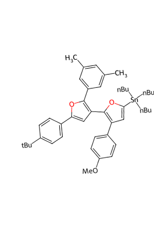 CCC[CH2][Sn]([CH2]CCC)([CH2]CCC)[c]1cc(-c2ccc(OC)cc2)c(-c2cc(-c3ccc(C(C)(C)C)cc3)oc2-c2cc(C)cc(C)c2)o1